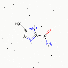 Cc1cnc(C(N)=O)[nH]1